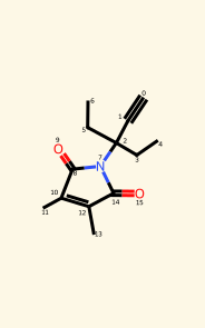 C#CC(CC)(CC)N1C(=O)C(C)=C(C)C1=O